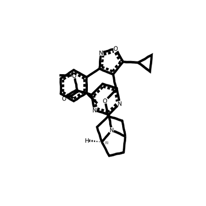 COC(=O)c1ccnc(N2C3CC[C@H]2CC(OCc2c(-c4ccccc4C)noc2C2CC2)C3)n1